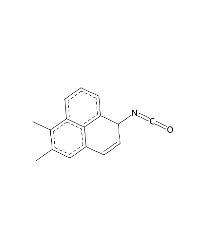 Cc1cc2c3c(cccc3c1C)C(N=C=O)C=C2